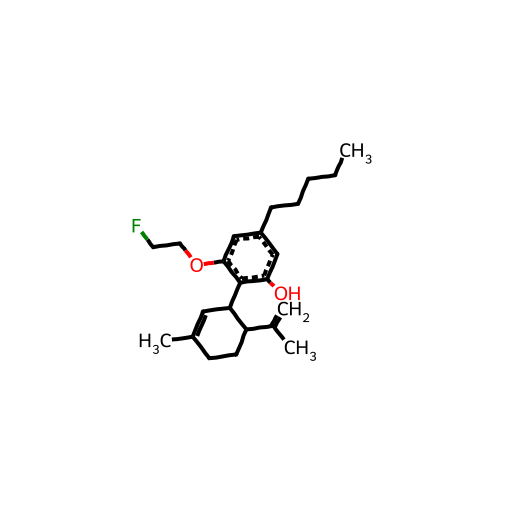 C=C(C)C1CCC(C)=CC1c1c(O)cc(CCCCC)cc1OCCF